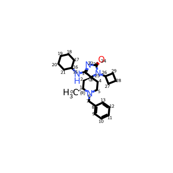 C[C@@H]1C[C@@]2(CCN1Cc1ccccc1)C(NC1CCCCC1)=NC(=O)N2C1CCC1